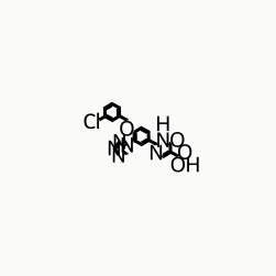 O=C(O)c1cnc(-c2ccc(OCc3cccc(Cl)c3)c(-n3cnnn3)c2)[nH]c1=O